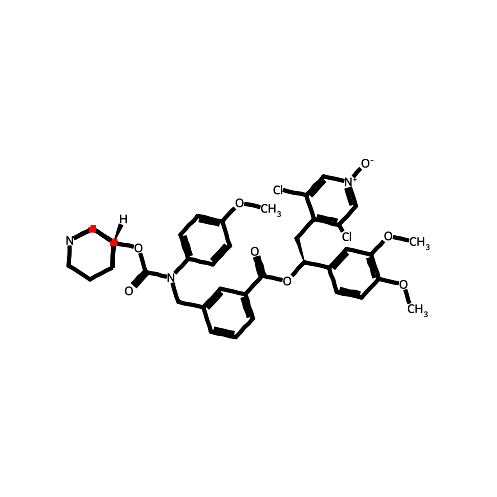 COc1ccc(N(Cc2cccc(C(=O)O[C@@H](Cc3c(Cl)c[n+]([O-])cc3Cl)c3ccc(OC)c(OC)c3)c2)C(=O)O[C@H]2CN3CCC2CC3)cc1